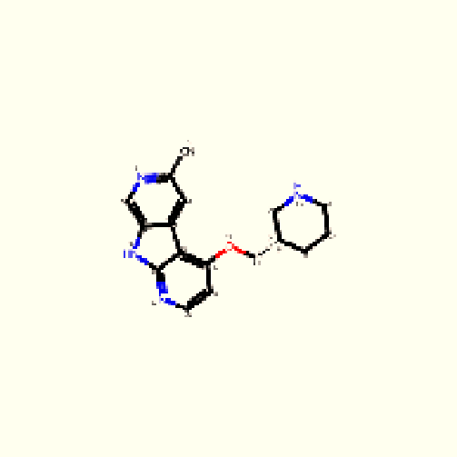 N#Cc1cc2c(cn1)[nH]c1nccc(OC[C@H]3CCCNC3)c12